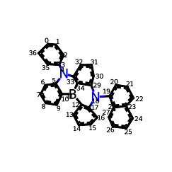 c1ccc(N2c3ccccc3B3c4ccccc4N(c4cccc5ccccc45)c4cccc2c43)cc1